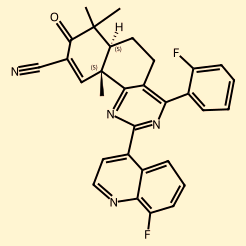 CC1(C)C(=O)C(C#N)=C[C@@]2(C)c3nc(-c4ccnc5c(F)cccc45)nc(-c4ccccc4F)c3CC[C@H]12